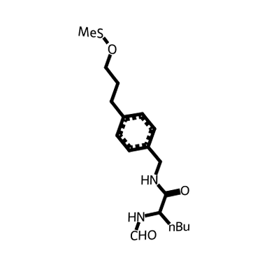 CCCCC(NC=O)C(=O)NCc1ccc(CCCOSC)cc1